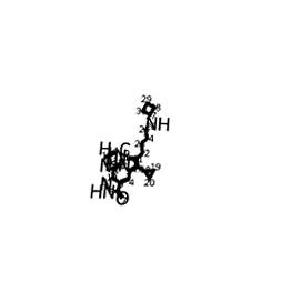 Cc1[nH]c(/C=C2/C(=O)NN=C2c2cnccn2)c(C2CC2)c1CCCCNC1CCC1